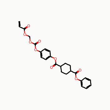 C=CC(=O)OCOC(=O)Oc1ccc(OC(=O)C2CCC(C(=O)Oc3ccccc3)CC2)cc1